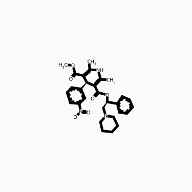 COC(=O)C1=C(C)NC(C)=C(C(=O)O[C@H](CN2CCCCC2)c2ccccc2)[C@H]1c1cccc([N+](=O)[O-])c1